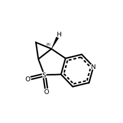 O=S1(=O)c2ccncc2[C@H]2CC21